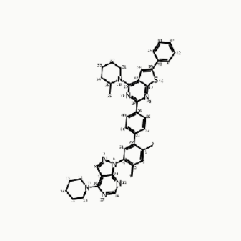 Cc1cc(C)c(-n2ncc3c(N4CCCCC4)ncnc32)cc1-c1ccc(-c2nc(N3CCCCC3C)c3cc(-c4ccccc4)sc3n2)cc1